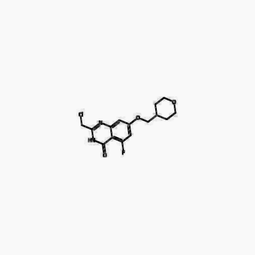 O=c1[nH]c(CCl)nc2cc(OCC3CCOCC3)cc(F)c12